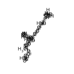 CN(CCOc1ccc(CC2SC(=O)NC2=O)cc1)c1cc(OC(=O)C[C@@H](NC(=O)c2ccc(C3(C(F)(F)F)N=N3)cc2)C(=O)NCCCOCCOCCOCCCNC(=O)CCCC[C@@H]2SC[C@@H]3NC(=O)N[C@@H]32)ccn1